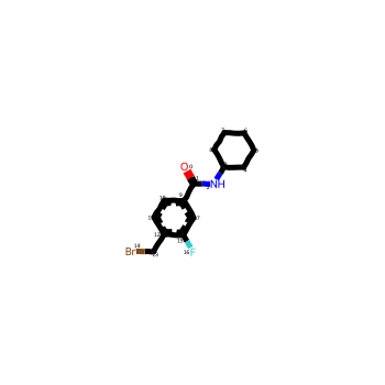 O=C(NC1CCCCC1)c1ccc(CBr)c(F)c1